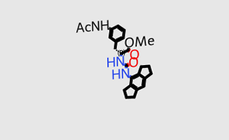 COC(=O)[C@@H](Cc1cccc(NC(C)=O)c1)NC(=O)Nc1c2c(cc3c1CCC3)CCC2